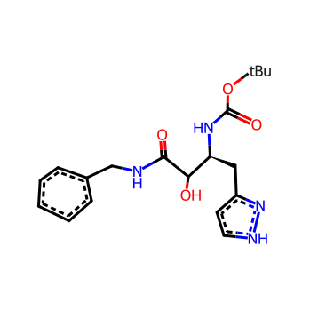 CC(C)(C)OC(=O)N[C@@H](Cc1cc[nH]n1)C(O)C(=O)NCc1ccccc1